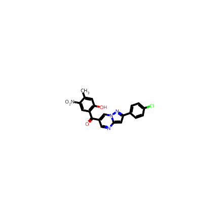 Cc1cc(O)c(C(=O)c2cnc3cc(-c4ccc(Cl)cc4)nn3c2)cc1[N+](=O)[O-]